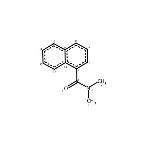 CN(C)C(=O)c1cccc2[c]cccc12